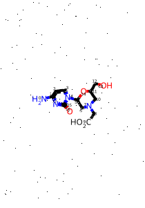 Nc1ccn(C2CN(CC(=O)O)CC(CO)O2)c(=O)n1